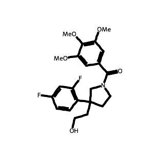 COc1cc(C(=O)N2CCC(CCO)(c3ccc(F)cc3F)C2)cc(OC)c1OC